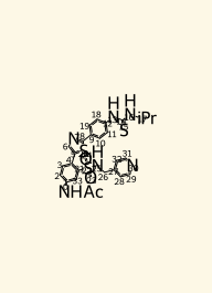 CC(=O)Nc1ccc(-c2cnc(-c3ccc(NC(=S)NC(C)C)cc3)s2)c(S(=O)(=O)NCc2ccncc2)c1